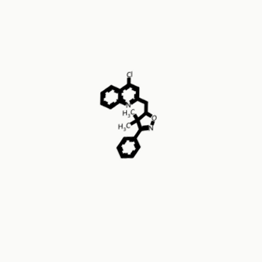 CC1(C)C(c2ccccc2)=NOC1Cc1cc(Cl)c2ccccc2n1